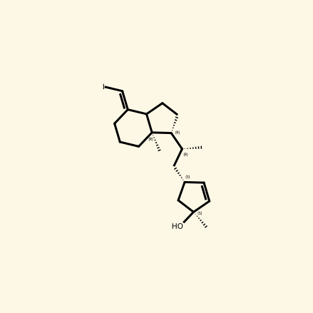 C[C@H](C[C@@H]1C=C[C@@](C)(O)C1)[C@H]1CCC2C(=CI)CCC[C@@]21C